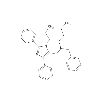 CCCCN(Cc1ccccc1)Cc1c(-c2ccccc2)nc(-c2ccccc2)n1CCC